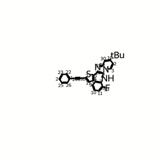 CC(C)(C)c1ccn2c(Nc3ccccc3F)c(-c3ccc(C#Cc4ccccc4)s3)nc2c1